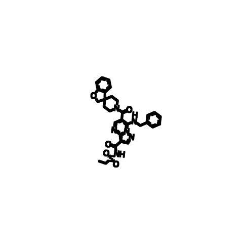 CCS(=O)(=O)NC(=O)c1cnn2c(NCc3ccccc3)c(C(=O)N3CCC4(CC3)COc3ccccc34)cnc12